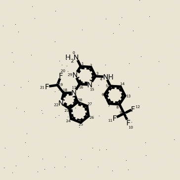 Nc1cc(Nc2ccc(C(F)(F)F)cc2)nc(-n2c(C(F)F)nc3ccccc32)n1